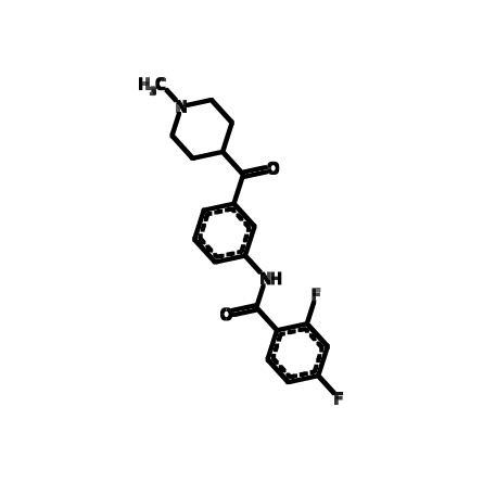 CN1CCC(C(=O)c2cccc(NC(=O)c3ccc(F)cc3F)c2)CC1